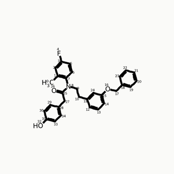 Cc1cc(F)ccc1N(CCc1cccc(OCc2ccccc2)c1)C(=O)Cc1ccc(O)cc1